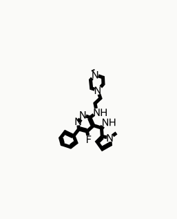 CN1CCN(CCNc2nnc(-c3ccccc3)c(F)c2C(=N)c2cccn2C)CC1